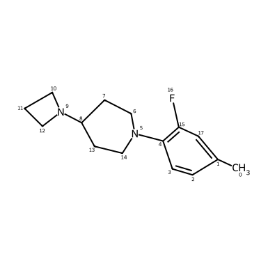 Cc1ccc(N2CCC(N3CCC3)CC2)c(F)c1